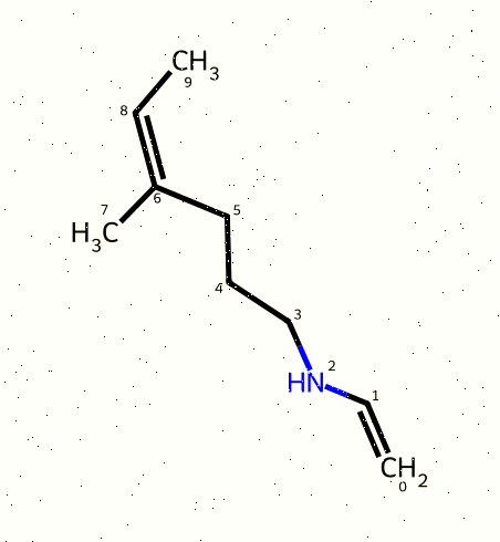 C=CNCCC/C(C)=C\C